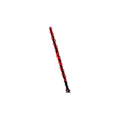 COCCOCCOCCOCCOCCOCCOCCOCCOCCOCCOCCOCCOCCOCCOCCOCCOCCCCCCCCCCCCO[Si](C)(C)C